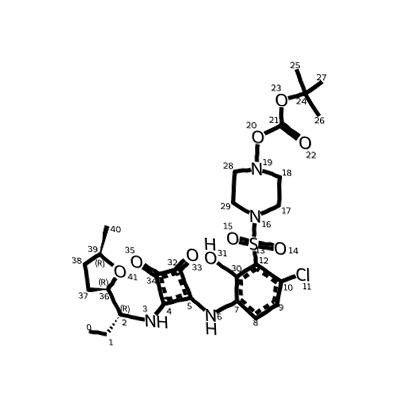 CC[C@@H](Nc1c(Nc2ccc(Cl)c(S(=O)(=O)N3CCN(OC(=O)OC(C)(C)C)CC3)c2O)c(=O)c1=O)[C@H]1CC[C@@H](C)O1